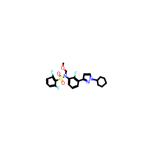 COCN(c1cccc(-c2ccn(C3CCCCC3)n2)c1F)S(=O)(=O)c1c(F)cccc1F